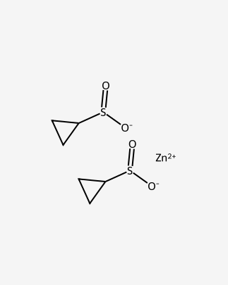 O=S([O-])C1CC1.O=S([O-])C1CC1.[Zn+2]